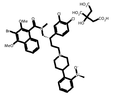 COc1c(Br)c(OC)c2ccccc2c1C(=O)N(C)C[C@@H](CCN1CCC(c2ccccc2[S@+](C)[O-])CC1)c1ccc(Cl)c(Cl)c1.O=C(O)CC(O)(CC(=O)O)C(=O)O